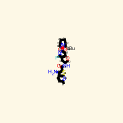 Cc1ccc2c(N)c(C(=O)NC3COc4cc(N5CC6CCC(C5)N6C(=O)OC(C)(C)C)nc(F)c4C3)sc2n1